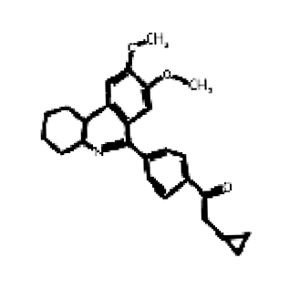 COc1cc2c(cc1OC)C1CCCCC1N=C2c1ccc(C(=O)CC2CC2)cc1